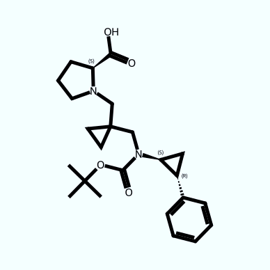 CC(C)(C)OC(=O)N(CC1(CN2CCC[C@H]2C(=O)O)CC1)[C@H]1C[C@@H]1c1ccccc1